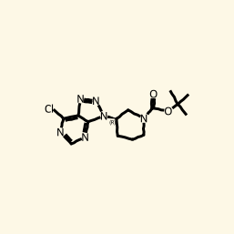 CC(C)(C)OC(=O)N1CCC[C@@H](n2nnc3c(Cl)ncnc32)C1